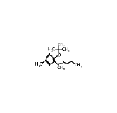 CCCOC(C)c1cc(C)ccc1OC(C)(C)C